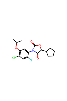 CC(C)Oc1cc(N2C(=O)OC(C3CCCC3)C2=O)c(F)cc1Cl